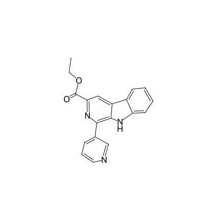 CCOC(=O)c1cc2c([nH]c3ccccc32)c(-c2cccnc2)n1